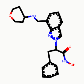 O=C(NO)C(Cc1ccccc1)n1cc2cccc(CNC3CCOCC3)c2n1